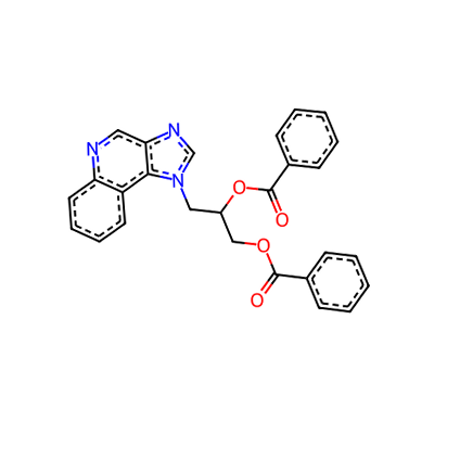 O=C(OCC(Cn1cnc2cnc3ccccc3c21)OC(=O)c1ccccc1)c1ccccc1